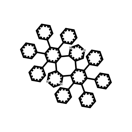 c1ccc(-c2c(-c3ccccc3)c(-c3ccccc3)c3c(c2-c2ccccc2)-c2cncnc2-c2c(-c4ccccc4)c(-c4ccccc4)c(-c4ccccc4)c(-c4ccccc4)c2-c2cncnc2-3)cc1